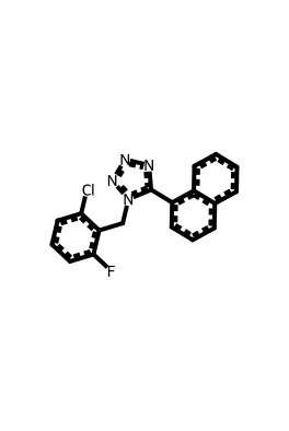 Fc1cccc(Cl)c1Cn1nnnc1-c1cccc2ccccc12